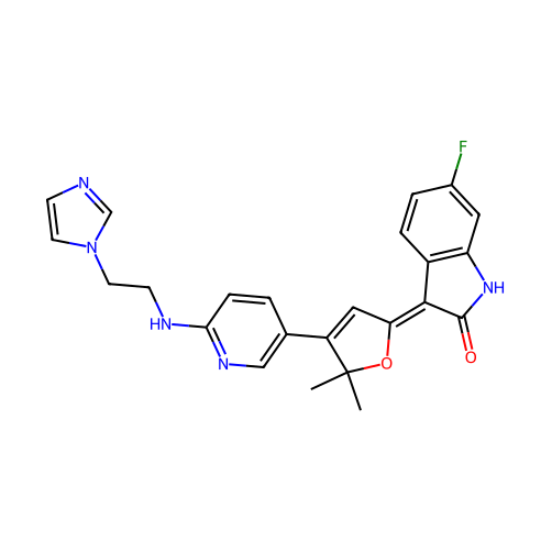 CC1(C)OC(=C2C(=O)Nc3cc(F)ccc32)C=C1c1ccc(NCCn2ccnc2)nc1